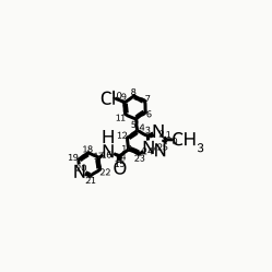 Cc1nc2c(-c3cccc(Cl)c3)cc(C(=O)Nc3ccncc3)cn2n1